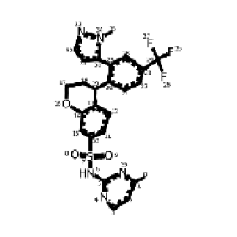 Cc1ccnc(NS(=O)(=O)c2ccc3c(c2)OCCC3c2ccc(C(F)(F)F)cc2-c2ccnn2C)n1